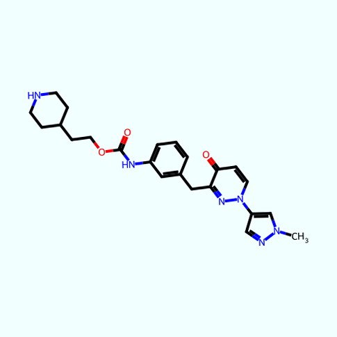 Cn1cc(-n2ccc(=O)c(Cc3cccc(NC(=O)OCCC4CCNCC4)c3)n2)cn1